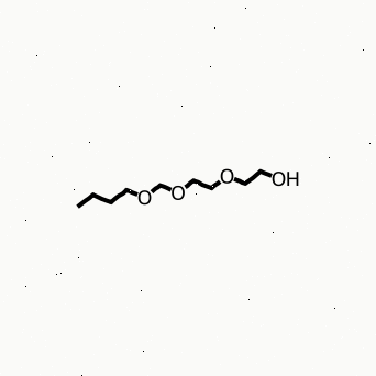 CCCCOCOCCOCCO